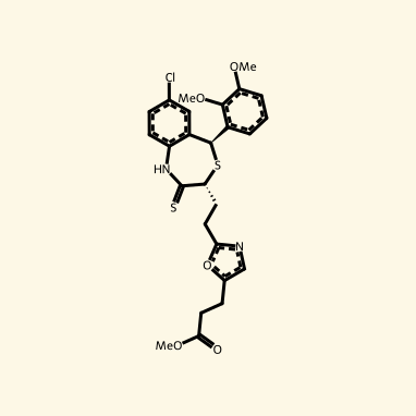 COC(=O)CCc1cnc(CC[C@H]2S[C@H](c3cccc(OC)c3OC)c3cc(Cl)ccc3NC2=S)o1